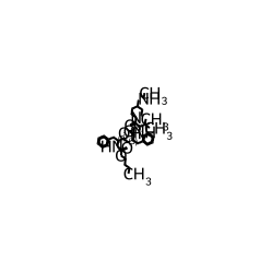 CCCCOC(=O)NC(Cc1ccccc1)[C@H](O)C[C@H](Cc1ccccc1)C(=O)N[C@H](C(=O)N1CCC(CNC)CC1)C(C)C